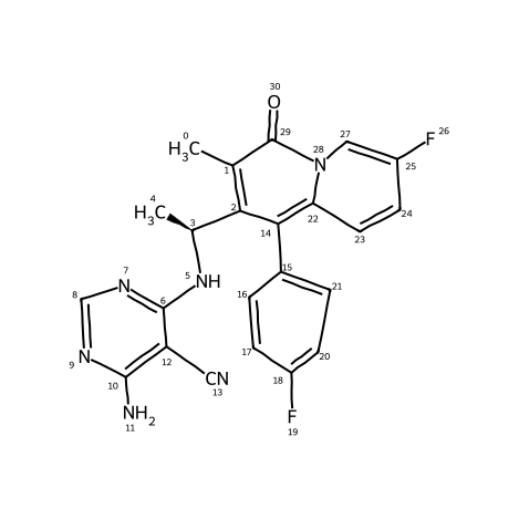 Cc1c([C@H](C)Nc2ncnc(N)c2C#N)c(-c2ccc(F)cc2)c2ccc(F)cn2c1=O